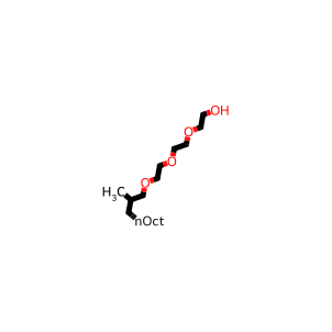 CCCCCCCCCC(C)COCCOCCOCCO